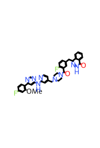 COc1cc(F)ccc1-c1cc(Nc2cc(CN3CCN(C(=O)c4cc(Cc5n[nH]c(=O)c6ccccc56)ccc4F)CC3)ccn2)ncn1